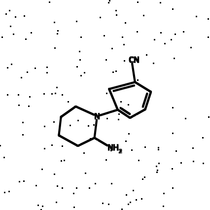 N#Cc1cccc(N2CCCCC2N)c1